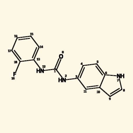 O=C(Nc1ccc2[nH]ccc2c1)Nc1ccccc1F